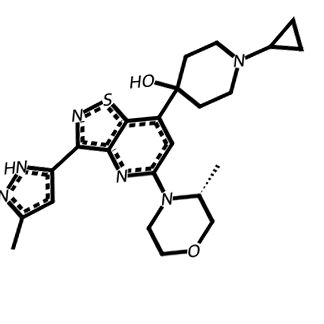 Cc1cc(-c2nsc3c(C4(O)CCN(C5CC5)CC4)cc(N4CCOC[C@H]4C)nc23)[nH]n1